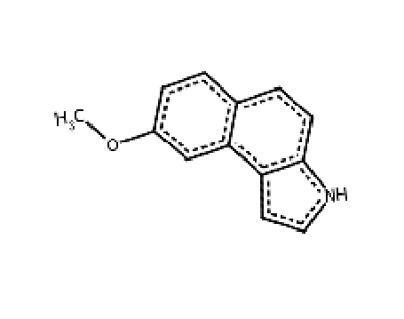 COc1ccc2ccc3[nH]ccc3c2c1